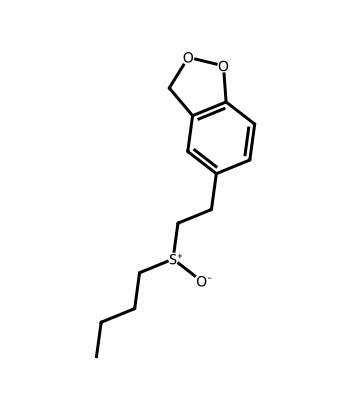 CCCC[S+]([O-])CCc1ccc2c(c1)COO2